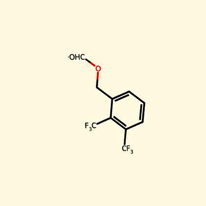 O=[C]OCc1cccc(C(F)(F)F)c1C(F)(F)F